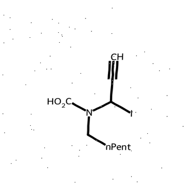 C#CC(I)N(CCCCCC)C(=O)O